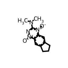 CN(C)c1n[n+]([O-])c2cc3c(cc2[n+]1[O-])CCC3